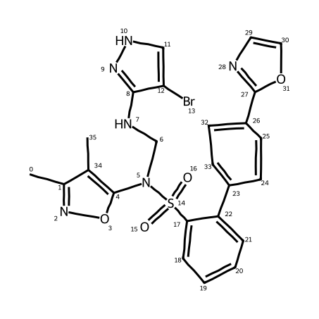 Cc1noc(N(CNc2n[nH]cc2Br)S(=O)(=O)c2ccccc2-c2ccc(-c3ncco3)cc2)c1C